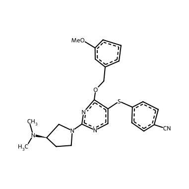 COc1cccc(COc2nc(N3CC[C@@H](N(C)C)C3)ncc2Sc2ccc(C#N)cc2)c1